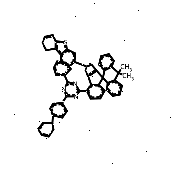 CC1(C)c2ccccc2C2(C3=C(CC(c4ccc5c6c(sc5c4)C=CCC6)C=C3)c3c(-c4nc(-c5ccccc5)nc(-c5ccc(C6C=CC=CC6)cc5)n4)cccc32)c2ccccc21